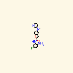 CN(c1cccnc1)c1ccc2oc(C(=O)Nc3cc(F)ccc3N)cc2c1